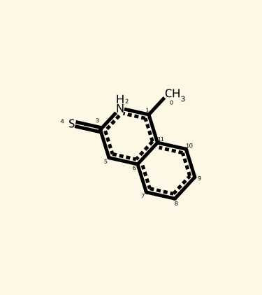 Cc1[nH]c(=S)cc2ccccc12